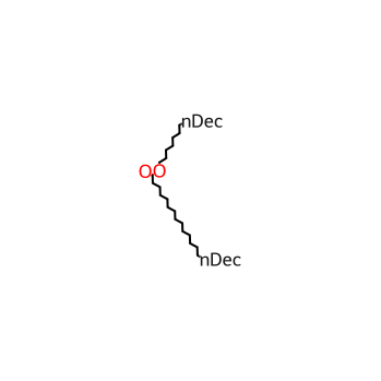 CCCCCCCCCCCCCCCCCCCCCCCC(=O)OCCCCCCCCCCCCCCCCC